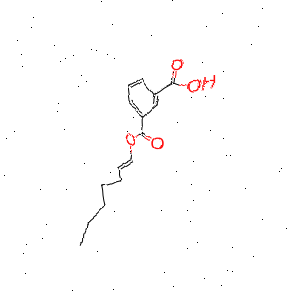 CCCCCC=COC(=O)c1cccc(C(=O)O)c1